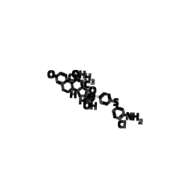 C[C@]12C=CC(=O)C=C1CC[C@@H]1C2[C@@H](O)C[C@@]2(C)C1C[C@H]1O[C@@H](c3ccc(Sc4ccc(Cl)c(N)c4)cc3)O[C@]12C(=O)CO